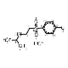 CC(C)NCCS(=O)(=O)c1ccc(Cl)cc1.Cl